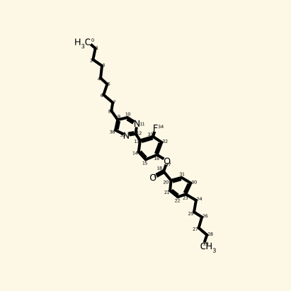 CCCCCCCCCc1cnc(-c2ccc(OC(=O)c3ccc(CCCCCC)cc3)cc2F)nc1